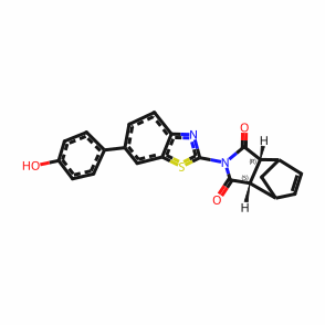 O=C1[C@@H]2C3C=CC(C3)[C@@H]2C(=O)N1c1nc2ccc(-c3ccc(O)cc3)cc2s1